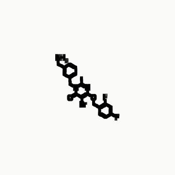 Cc1nc(OCc2ccc(F)cc2F)c(Br)c(=O)n1Cc1cccc(CN)c1